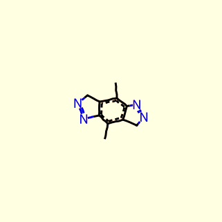 Cc1c2c(c(C)c3c1N=NC3)N=NC2